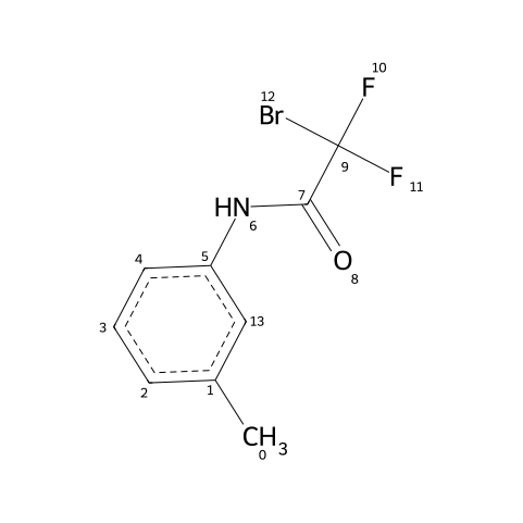 Cc1cccc(NC(=O)C(F)(F)Br)c1